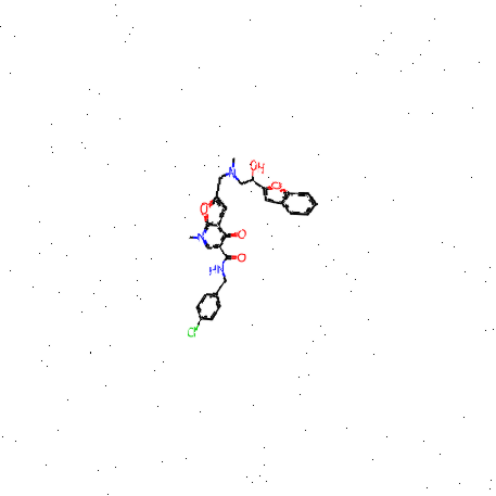 CN(Cc1cc2c(=O)c(C(=O)NCc3ccc(Cl)cc3)cn(C)c2o1)CC(O)c1cc2ccccc2o1